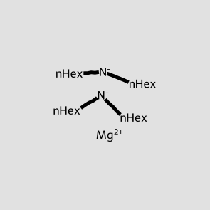 CCCCCC[N-]CCCCCC.CCCCCC[N-]CCCCCC.[Mg+2]